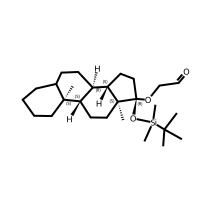 CC(C)(C)[Si](C)(C)O[C@]1(OCC=O)CC[C@H]2[C@@H]3CCC4CCCC[C@]4(C)[C@H]3CC[C@@]21C